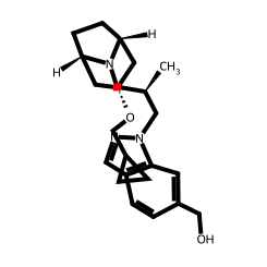 C[C@H](CN1[C@@H]2CC[C@H]1C[C@@H](OCC1CC1)C2)Cn1ncc2ccc(CO)cc21